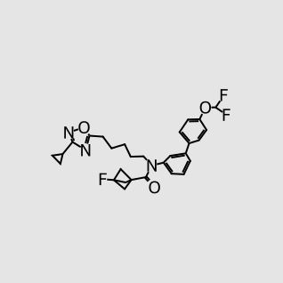 O=C(N(CCCCCc1nc(C2CC2)no1)c1cccc(-c2ccc(OC(F)F)cc2)c1)C12CC(F)(C1)C2